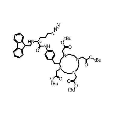 CC(C)(C)OC(=O)CN1CCN(CC(=O)OC(C)(C)C)CCN(CC(=O)OC(C)(C)C)C(Cc2ccc(NC(=O)[C@H](CCCN=[N+]=[N-])NCC3c4ccccc4-c4ccccc43)cc2)CN(CC(=O)OC(C)(C)C)CC1